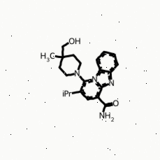 CC(C)c1cc(C(N)=O)c2nc3ccccc3n2c1N1CCC(C)(CO)CC1